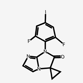 O=C1N(c2c(F)cc(I)cc2F)c2nccn2C12CC2